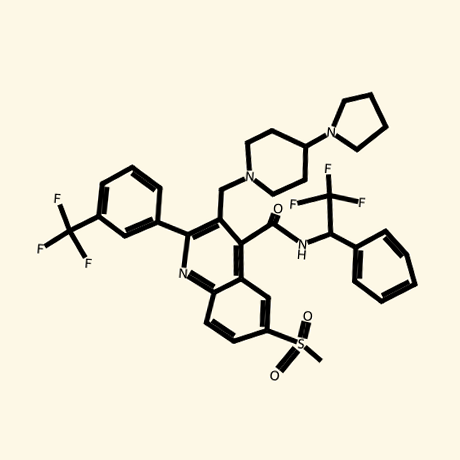 CS(=O)(=O)c1ccc2nc(-c3cccc(C(F)(F)F)c3)c(CN3CCC(N4CCCC4)CC3)c(C(=O)NC(c3ccccc3)C(F)(F)F)c2c1